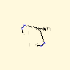 CCC/C=C\C/C=C\CCCCCCCCOCC(CCN(C)C)OCCCCCCCC/C=C\C/C=C\CCC